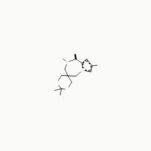 CC1(C)OCC2(CO1)CN(C(C)(C)C)C(=O)c1cc(C(C)(C)C)cn1C2